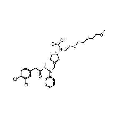 COCCOCCOCCN(C(=O)O)[C@H]1CCN(C[C@H](c2ccccc2)N(C)C(=O)Cc2ccc(Cl)c(Cl)c2)C1